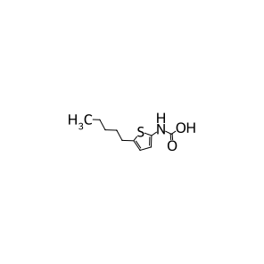 CCCCCc1ccc(NC(=O)O)s1